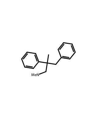 CNCC(C)(Cc1ccccc1)c1ccccc1